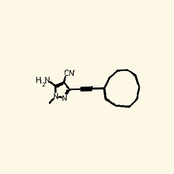 Cn1nc(C#CC2CCCCCCCCC2)c(C#N)c1N